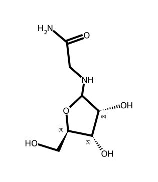 NC(=O)CNC1O[C@H](CO)[C@@H](O)[C@H]1O